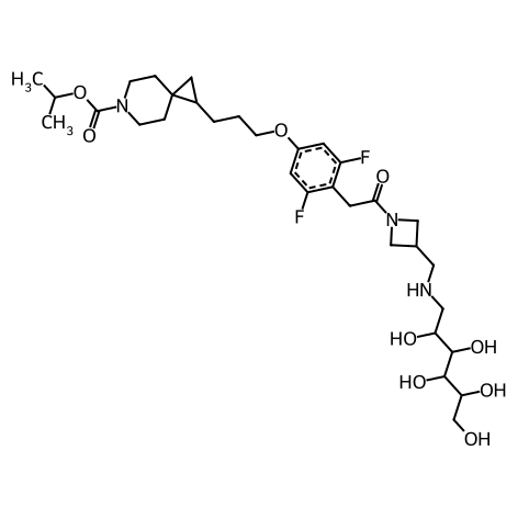 CC(C)OC(=O)N1CCC2(CC1)CC2CCCOc1cc(F)c(CC(=O)N2CC(CNCC(O)C(O)C(O)C(O)CO)C2)c(F)c1